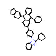 C1=CCCC(c2nc3ccccc3n2-c2ccc(C3=CC4=C(C5=CCCC=C5)c5ccccc5C(C5=CC6=C(CC=C6)CC5)C4C=C3)cc2)=C1